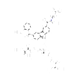 C=C(C)C(=O)OCCOP(=O)(CCCn1c2ccc(C(=O)/C(C)=N/OC(C)=O)cc2c2cc(C(=O)c3ccccc3C)ccc21)OCCOC(=O)C(=C)C